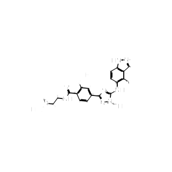 COc1cc(-c2nc(Nc3ccc4[nH]ncc4c3C)n(C)n2)ccc1C(=O)NCCN(C)C